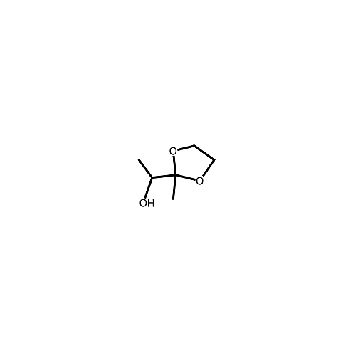 CC(O)C1(C)OCCO1